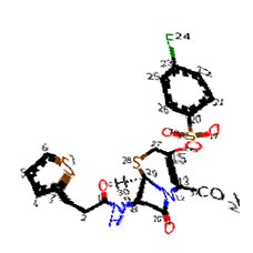 O=C(Cc1cccs1)NC1C(=O)N2C(C(=O)O)=C(OS(=O)(=O)c3ccc(F)cc3)CS[C@H]12